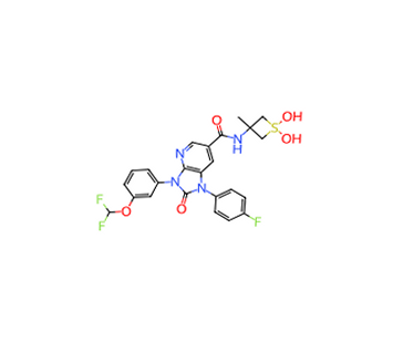 CC1(NC(=O)c2cnc3c(c2)n(-c2ccc(F)cc2)c(=O)n3-c2cccc(OC(F)F)c2)CS(O)(O)C1